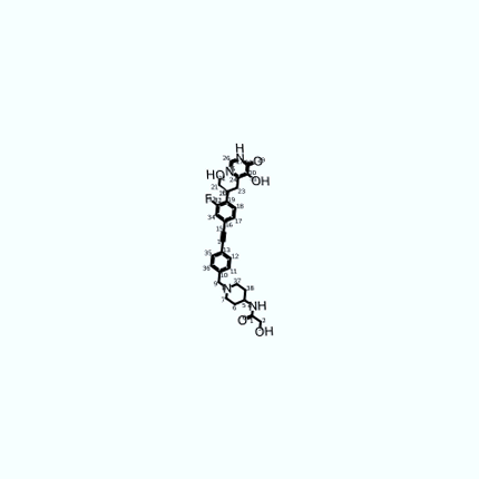 O=C(CO)NC1CCN(Cc2ccc(C#Cc3ccc([C@@H](CO)Cc4nc[nH]c(=O)c4O)c(F)c3)cc2)CC1